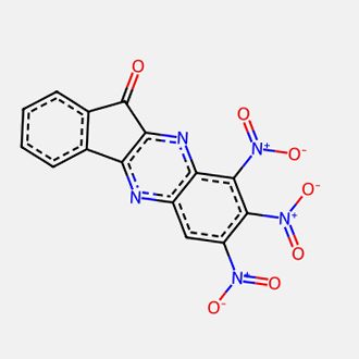 O=C1c2ccccc2-c2nc3cc([N+](=O)[O-])c([N+](=O)[O-])c([N+](=O)[O-])c3nc21